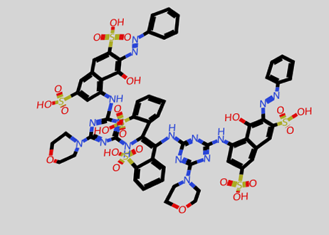 O=S(=O)(O)c1cc(Nc2nc(NC(=C(Nc3nc(Nc4cc(S(=O)(=O)O)cc5cc(S(=O)(=O)O)c(N=Nc6ccccc6)c(O)c45)nc(N4CCOCC4)n3)c3ccccc3S(=O)(=O)O)c3ccccc3S(=O)(=O)O)nc(N3CCOCC3)n2)c2c(O)c(N=Nc3ccccc3)c(S(=O)(=O)O)cc2c1